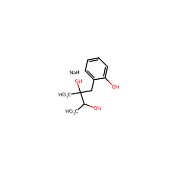 O=C(O)C(O)C(O)(Cc1ccccc1O)C(=O)O.[NaH]